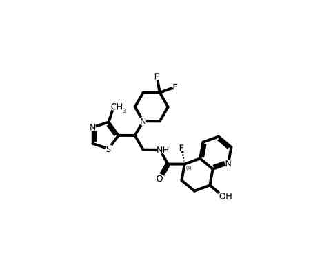 Cc1ncsc1C(CNC(=O)[C@]1(F)CCC(O)c2ncccc21)N1CCC(F)(F)CC1